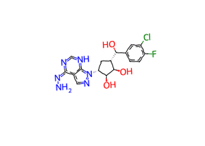 N/N=c1/nc[nH]c2c1cnn2[C@@H]1C[C@H](C(O)c2ccc(F)c(Cl)c2)[C@@H](O)[C@H]1O